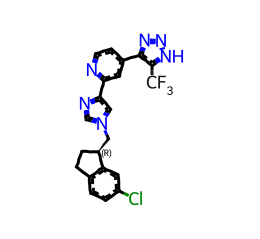 FC(F)(F)c1[nH]nnc1-c1ccnc(-c2cn(C[C@@H]3CCc4ccc(Cl)cc43)cn2)c1